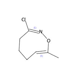 C/C1=C\CCC/C(Cl)=N\O1